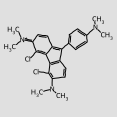 CN(C)c1ccc(C2=C3C=CC(=[N+](C)C)C(Cl)=C3c3c2ccc(N(C)C)c3Cl)cc1